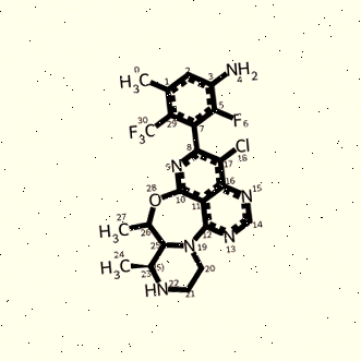 Cc1cc(N)c(F)c(-c2nc3c4c(ncnc4c2Cl)N2CCN[C@@H](C)C2C(C)O3)c1C(F)(F)F